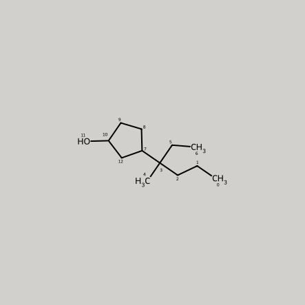 CCCC(C)(CC)C1CCC(O)C1